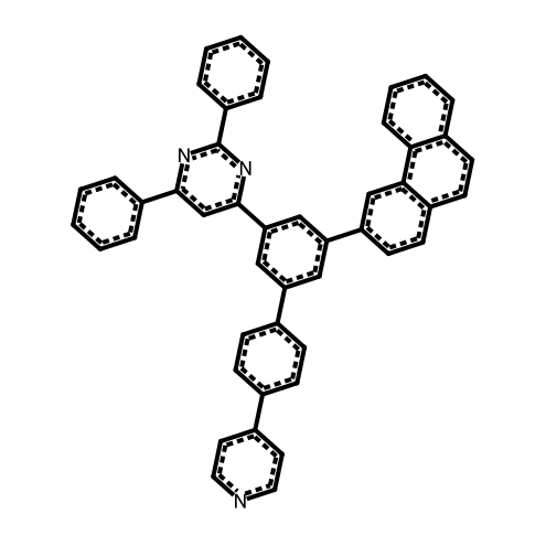 c1ccc(-c2cc(-c3cc(-c4ccc(-c5ccncc5)cc4)cc(-c4ccc5ccc6ccccc6c5c4)c3)nc(-c3ccccc3)n2)cc1